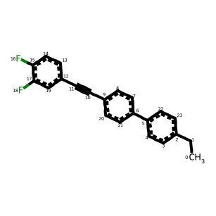 CCc1ccc(-c2ccc(C#Cc3ccc(F)c(F)c3)cc2)cc1